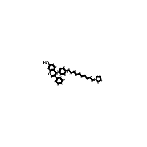 Oc1ccc2c(c1)OC[C@H](c1ccccc1)[C@@H]2c1ccc(CCCCCCCCCCN2CCCC2)cc1